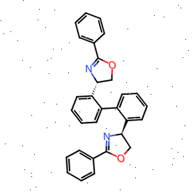 c1ccc(C2=N[C@@H](c3ccccc3-c3ccccc3[C@H]3COC(c4ccccc4)=N3)CO2)cc1